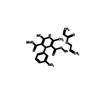 C=CCOC(=O)C=C.COC(=O)C1=C(C#N)NC(C)=C(C(=O)OC(C)C)C1c1cccc([N+](=O)[O-])c1